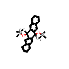 C[Si](C)(C)OC1(C(F)(F)F)c2cc3ccccc3cc2C(O[Si](C)(C)C)(C(F)(F)F)c2cc3ccccc3cc21